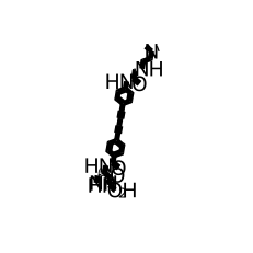 CN(C)CCNCC(=O)Nc1ccc(C#CC#Cc2ccc(C(=O)N[C@@H](CN)C(=O)NO)cc2)cc1